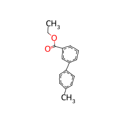 CCOC(=O)c1cccc(-c2ccc(C)cc2)c1